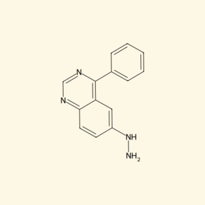 NNc1ccc2ncnc(-c3ccccc3)c2c1